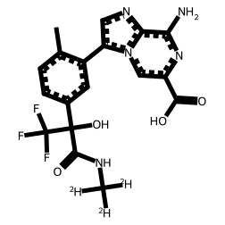 [2H]C([2H])([2H])NC(=O)C(O)(c1ccc(C)c(-c2cnc3c(N)nc(C(=O)O)cn23)c1)C(F)(F)F